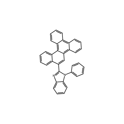 c1ccc(-n2c(-c3cc4c5ccccc5c5ccccc5c4c4ccccc34)nc3ccccc32)cc1